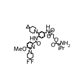 COc1ccc(C(=O)Nc2ccc(NS(=O)(=O)CCOC(=O)[C@@H](N)C(C)C)cc2N2CCC3(CC2)CC3)nc1N1CCC(F)(F)CC1